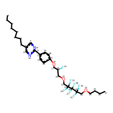 CCCCCCCCc1cnc(-c2ccc(OC[C@@H](F)COCC(F)(F)C(F)(F)C(F)(F)COCCCC)cc2)nc1